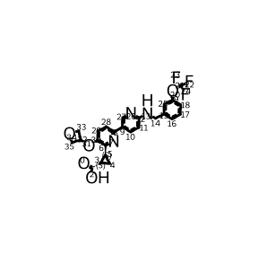 O=C(O)[C@H]1C[C@@H]1c1nc(-c2ccc(NCc3cccc(OC(F)(F)F)c3)nc2)ccc1OC1COC1